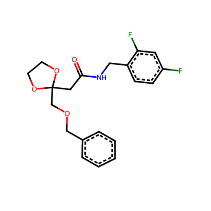 O=C(CC1(COCc2ccccc2)OCCO1)NCc1ccc(F)cc1F